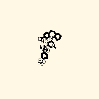 CN=S(=O)(NC1CN(C)CC(N2c3ccccc3CCc3ccc(Cl)cc32)C1O)c1ccc(OC(F)(F)F)cc1